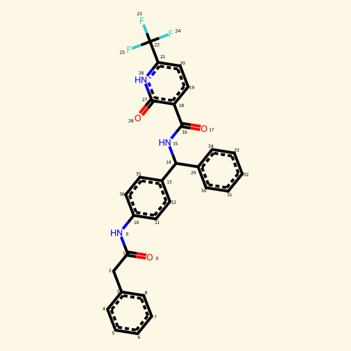 O=C(Cc1ccccc1)Nc1ccc(C(NC(=O)c2ccc(C(F)(F)F)[nH]c2=O)c2ccccc2)cc1